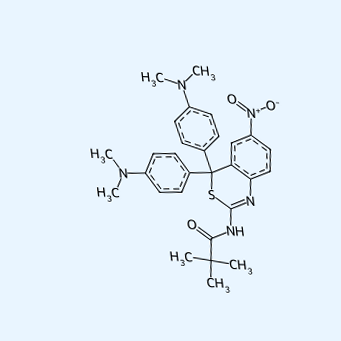 CN(C)c1ccc(C2(c3ccc(N(C)C)cc3)SC(NC(=O)C(C)(C)C)=Nc3ccc([N+](=O)[O-])cc32)cc1